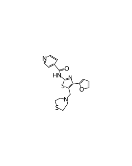 O=C(Nc1nc(-c2ccco2)c(CN2CCSCC2)s1)c1ccncc1